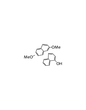 COC.COc1ccc2ccccc2c1.Oc1cccc2ccccc12